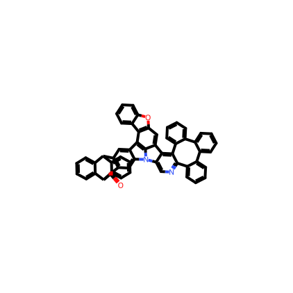 O=C1c2cc3c(cc2C2c4ccccc4C1c1ccccc12)c1c2c(cc4c5c6c(ncc5n3c41)-c1ccccc1-c1ccccc1-c1ccccc1-6)oc1ccccc12